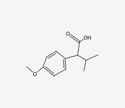 COc1ccc(C(C(=O)O)C(C)C)cc1